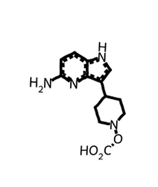 Nc1ccc2[nH]cc(C3CCN(OC(=O)O)CC3)c2n1